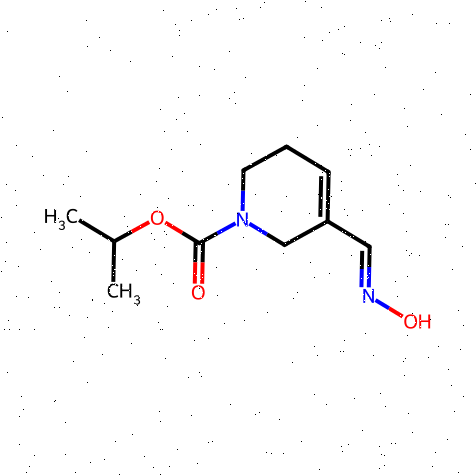 CC(C)OC(=O)N1CCC=C(C=NO)C1